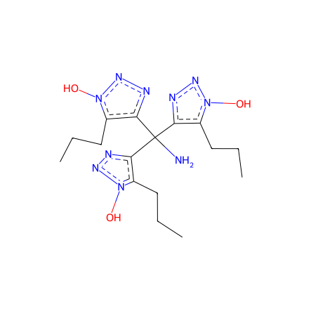 CCCc1c(C(N)(c2nnn(O)c2CCC)c2nnn(O)c2CCC)nnn1O